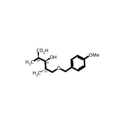 COc1ccc(COC[C@H](C)[C@H](O)[C@@H](C)C(=O)O)cc1